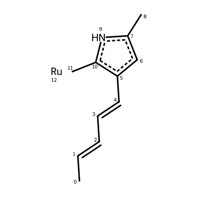 CC=CC=Cc1cc(C)[nH]c1C.[Ru]